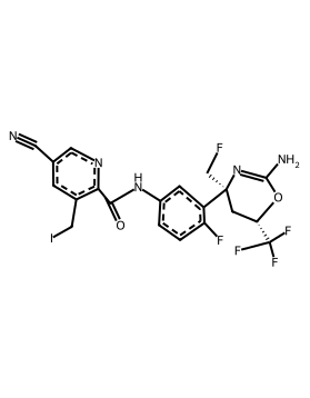 N#Cc1cnc(C(=O)Nc2ccc(F)c([C@]3(CF)C[C@@H](C(F)(F)F)OC(N)=N3)c2)c(CI)c1